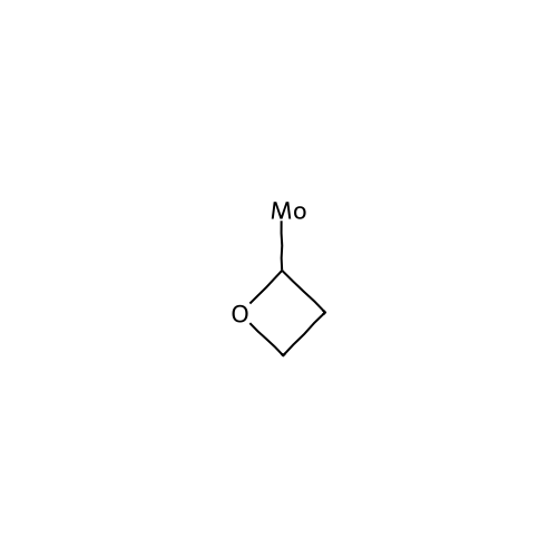 [Mo][CH]1CCO1